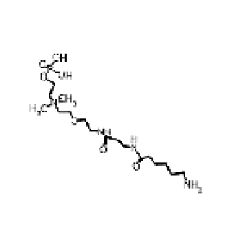 C[N+](C)(CCOCCNC(=O)CCNC(=O)CCCCCN)CCOP(=O)(O)O